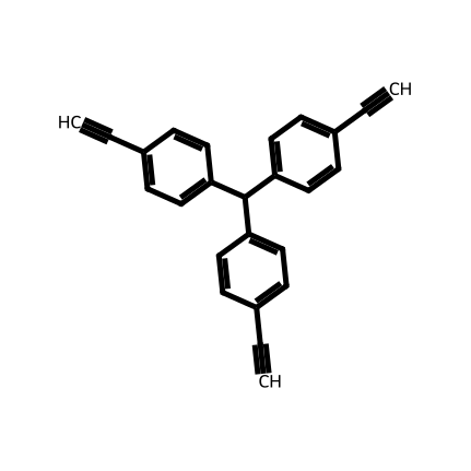 C#Cc1ccc(C(c2ccc(C#C)cc2)c2ccc(C#C)cc2)cc1